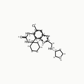 O=C1Nc2c(Cl)cc3nc(CN[C@@H]4CCOC4)oc3c2C2(CCCCC2)N1